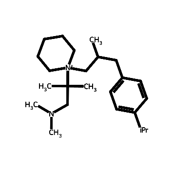 CC(Cc1ccc(C(C)C)cc1)C[N+]1(C(C)(C)CN(C)C)CCCCC1